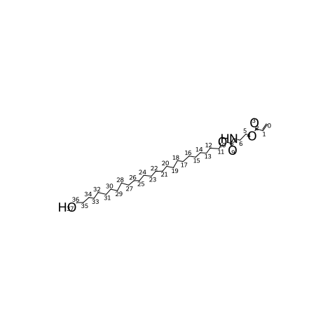 C=CC(=O)OCCNC(=O)OCCCCCCCCCCCCCCCCCCCCCCCCCCO